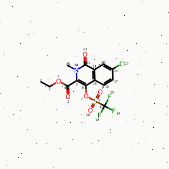 CCOC(=O)c1c(OS(=O)(=O)C(F)(F)F)c2ccc(Cl)cc2c(=O)n1C